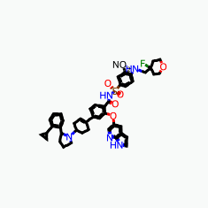 O=C(NS(=O)(=O)c1ccc(NCC2(F)CCOCC2)c([N+](=O)[O-])c1)c1ccc(C2=CCC(N3CCCC3c3ccccc3C3CC3)CC2)cc1Oc1cnc2[nH]ccc2c1